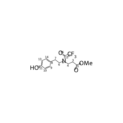 COC(=O)CCN(CCc1ccc(O)cc1)C(=O)C(F)(F)F